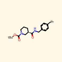 CC(C)c1ccc(CNC(=O)[C@@H]2CCCN(C(=O)OC(C)(C)C)C2)cc1